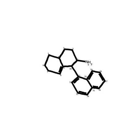 NC1CCC2CCCC=C2C1c1cccc2ccccc12